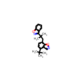 CC(C)(C)c1ccc(CC(C)(C)c2noc3ccccc23)c2oncc12